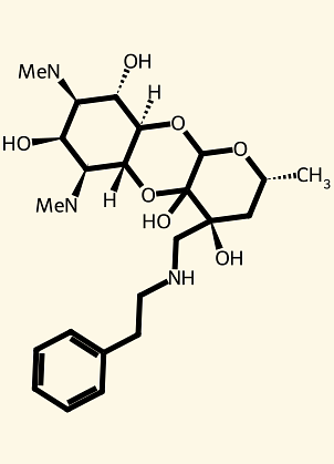 CN[C@@H]1[C@H](O)[C@H](NC)[C@H]2OC3(O)C(O[C@@H]2[C@H]1O)O[C@H](C)C[C@]3(O)CNCCc1ccccc1